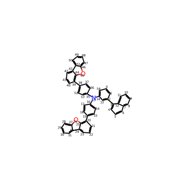 c1cc(-c2cccc3ccccc23)cc(N(c2ccc(-c3cccc4c3oc3ccccc34)cc2)c2ccc(-c3cccc4c3oc3ccccc34)cc2)c1